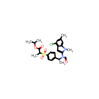 Cc1cc(Cl)c2cc(N(C=O)[C@H](C)c3ccc(S(=O)(=O)C(C)C(=O)OC(C)C)cc3)n(C)c2c1